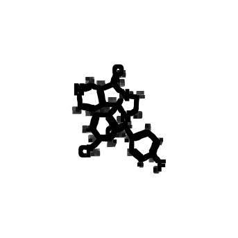 O=C(c1ccc(F)cc1)N1CCN2C(=O)c3cnccc3C12c1ccc(Cl)cc1